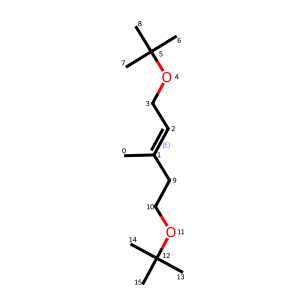 C/C(=C\COC(C)(C)C)CCOC(C)(C)C